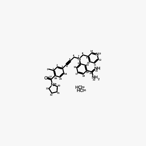 Cc1cc(C#CCN(Cc2cccnc2)c2cccc(C(=N)N)c2)ccc1C(=O)N1CCCC1.Cl.Cl